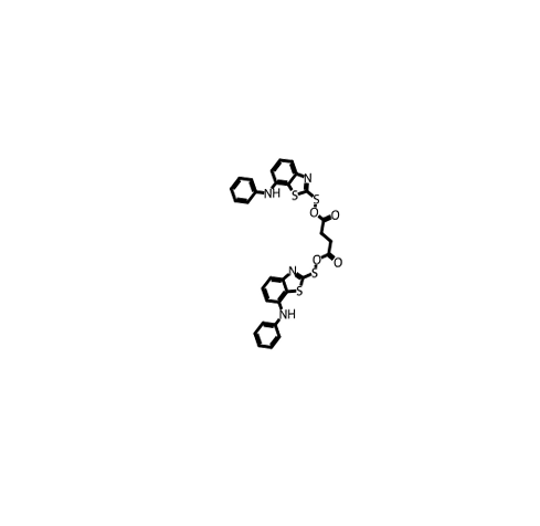 O=C(CCC(=O)OSc1nc2cccc(Nc3ccccc3)c2s1)OSc1nc2cccc(Nc3ccccc3)c2s1